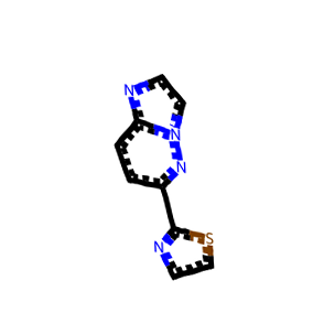 c1csc(-c2ccc3nccn3n2)n1